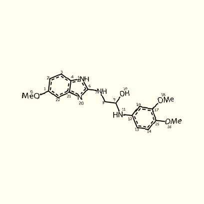 COc1ccc2[nH]c(NCC(O)Nc3ccc(OC)c(OC)c3)nc2c1